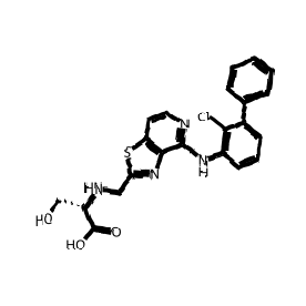 O=C(O)[C@H](CO)NCc1nc2c(Nc3cccc(-c4ccccc4)c3Cl)nccc2s1